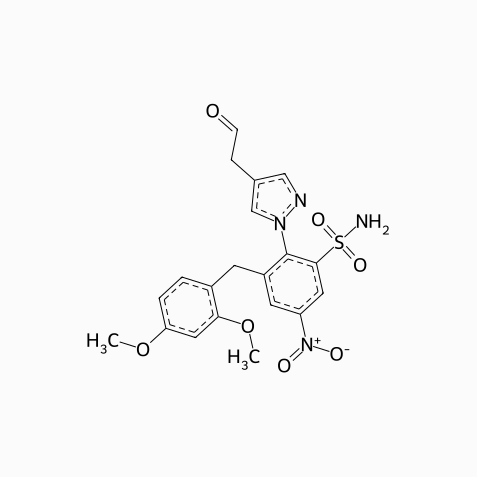 COc1ccc(Cc2cc([N+](=O)[O-])cc(S(N)(=O)=O)c2-n2cc(CC=O)cn2)c(OC)c1